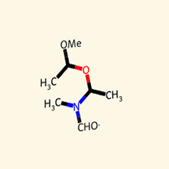 COC(C)OC(C)N(C)[C]=O